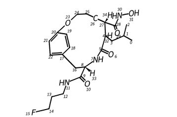 CC(C)C[C@H]1C(=O)N[C@H](C(=O)NCCCF)Cc2ccc(cc2)OCCC[C@@H]1C(=O)NO